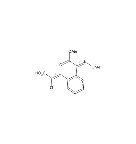 CO/N=C(/C(=O)OC)c1ccccc1/C=C(\Cl)C(=O)O